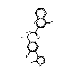 Cc1nccn1-c1ccc([C@H](C)NC(=O)c2cc(=O)c3ccccc3o2)cc1F